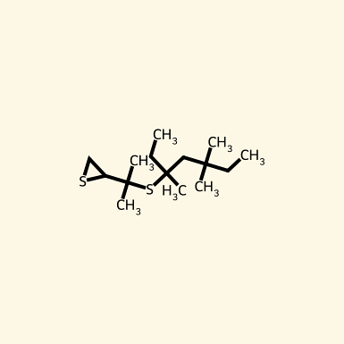 CCC(C)(C)CC(C)(CC)SC(C)(C)C1CS1